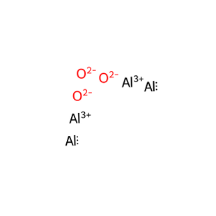 [Al+3].[Al+3].[Al].[Al].[O-2].[O-2].[O-2]